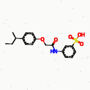 CCC(C)c1ccc(OCC(=O)Nc2cccc(S(=O)(=O)O)c2)cc1